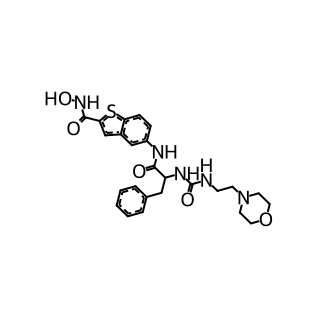 O=C(NCCN1CCOCC1)NC(Cc1ccccc1)C(=O)Nc1ccc2sc(C(=O)NO)cc2c1